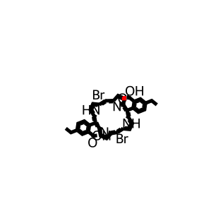 CCc1ccc(-c2c3nc(c(Br)c4ccc([nH]4)c(-c4ccc(CC)cc4C(=O)O)c4nc(c(Br)c5ccc2[nH]5)C=C4)C=C3)c(C(=O)O)c1